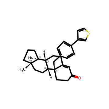 C[C@@]12CCC[C@H]1[C@@H]1CCC3=CC(=O)CC[C@]3(Cc3ccc(-c4ccsc4)cc3)[C@@H]1CC2